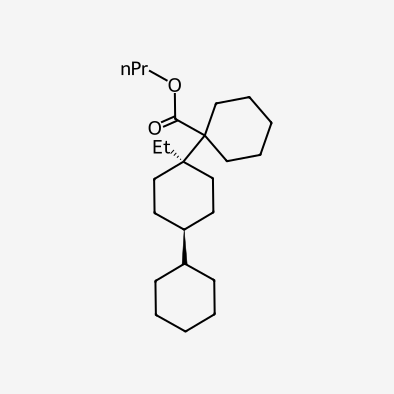 CCCOC(=O)C1([C@]2(CC)CC[C@H](C3CCCCC3)CC2)CCCCC1